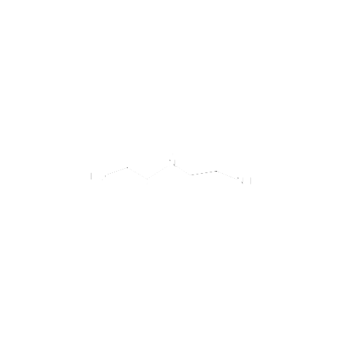 [NH]CC[N]CCO